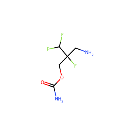 NCC(F)(COC(N)=O)C(F)F